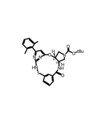 Cc1cccc(C)c1-c1cc2nc(n1)NSc1cccc(c1)C(=O)N[C@@H]1CN(C(=O)OC(C)(C)C)C[C@H]1O2